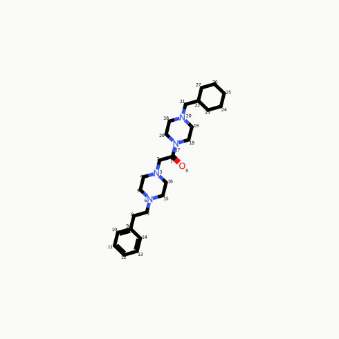 O=C(CN1CCN(CCc2ccccc2)CC1)N1CCN(CC2CCCCC2)CC1